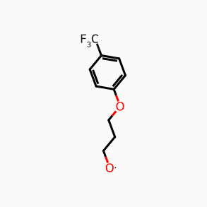 [O]CCCOc1ccc(C(F)(F)F)cc1